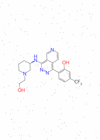 OCCN1CCC[C@@H](Nc2nnc(-c3ccc(C(F)(F)F)cc3O)c3ccncc23)C1